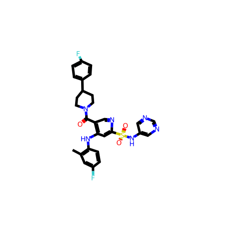 Cc1cc(F)ccc1Nc1cc(S(=O)(=O)Nc2cncnc2)ncc1C(=O)N1CCC(c2ccc(F)cc2)CC1